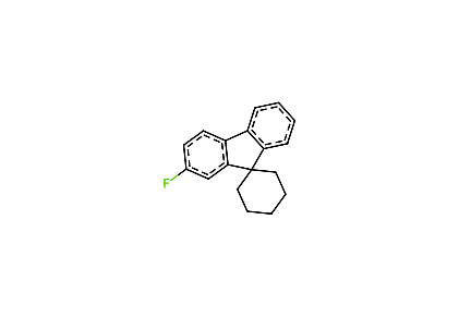 Fc1ccc2c(c1)C1(CCCCC1)c1ccccc1-2